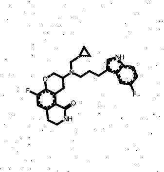 O=C1NCCc2cc(F)c3c(c21)CC(N(CCCc1c[nH]c2ccc(F)cc12)CC1CC1)CO3